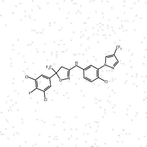 Fc1c(Cl)cc(C2(C(F)(F)F)CC(Nc3ccc(Cl)c(-n4cc(C(F)(F)F)cn4)c3)=NO2)cc1Cl